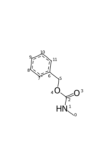 CNC(=O)OCc1[c]cccc1